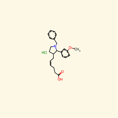 COc1cccc(C2C(C/C=C\CCC(=O)O)CCN2Cc2ccccc2)c1.Cl